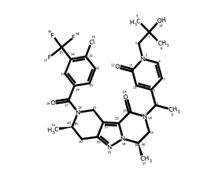 CC(c1ccn(CC(C)(C)O)c(=O)c1)N1C[C@@H](C)n2nc3c(c2C1=O)CN(C(=O)c1ccc(Cl)c(C(F)(F)F)c1)[C@H](C)C3